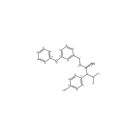 CC(C)C(C(=N)OCc1cccc(Oc2ccccc2)c1)c1ccc(F)cc1